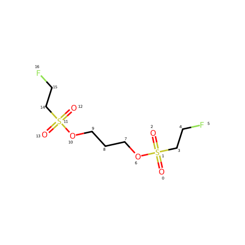 O=S(=O)(CCF)OCCCOS(=O)(=O)CCF